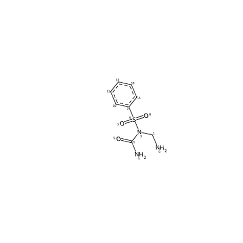 NCN(C(N)=O)S(=O)(=O)c1ccccc1